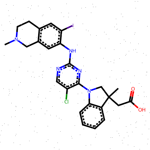 CN1CCc2cc(I)c(Nc3ncc(Cl)c(N4CC(C)(CC(=O)O)c5ccccc54)n3)cc2C1